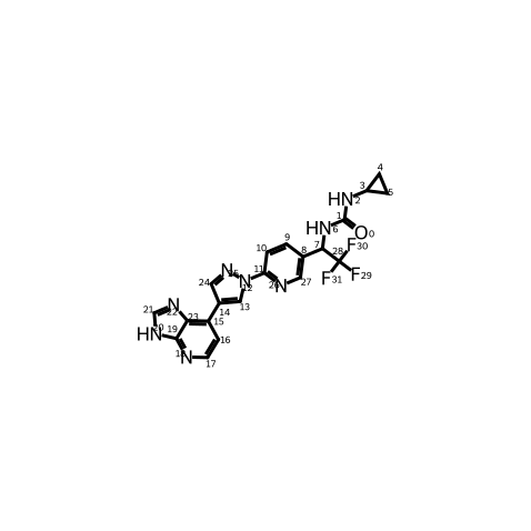 O=C(NC1CC1)NC(c1ccc(-n2cc(-c3ccnc4[nH]cnc34)cn2)nc1)C(F)(F)F